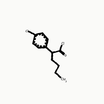 CCCCC(C(=O)Cl)c1ccc(Cl)cc1